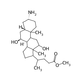 COC(=O)CCC(C)C1CCC2[C@@H]3C(CC(O)C12C)C1(C)CC[C@@H](N)C[C@H]1C[C@@H]3O